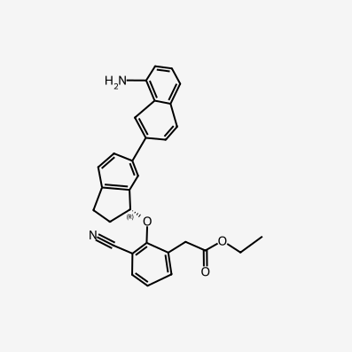 CCOC(=O)Cc1cccc(C#N)c1O[C@@H]1CCc2ccc(-c3ccc4cccc(N)c4c3)cc21